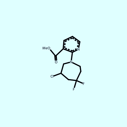 COC(=O)c1cccnc1N1CCC(F)(F)CC(Cl)C1